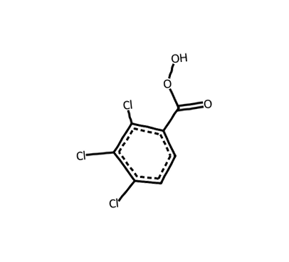 O=C(OO)c1ccc(Cl)c(Cl)c1Cl